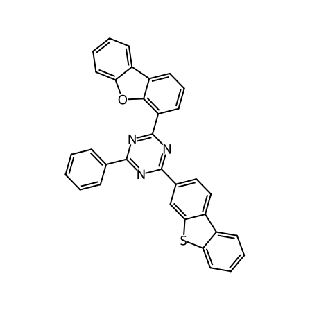 c1ccc(-c2nc(-c3ccc4c(c3)sc3ccccc34)nc(-c3cccc4c3oc3ccccc34)n2)cc1